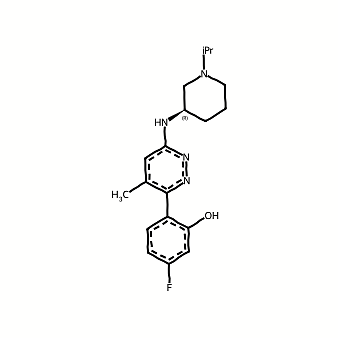 Cc1cc(N[C@@H]2CCCN(C(C)C)C2)nnc1-c1ccc(F)cc1O